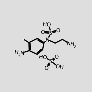 Cc1cc(N(CCN)S(=O)(=O)O)ccc1N.O=S(=O)(O)O